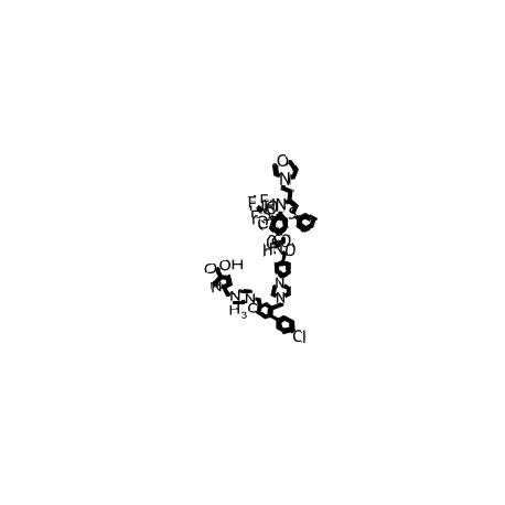 CC1(CN2CCN(Cc3ccc(C(=O)O)cn3)CC2)CCC(c2ccc(Cl)cc2)=C(CN2CCN(c3ccc(C(=O)NS(=O)(=O)c4ccc(NC(CCN5CCCOCC5)CSc5ccccc5)c(S(=O)(=O)C(F)(F)F)c4)cc3)CC2)C1